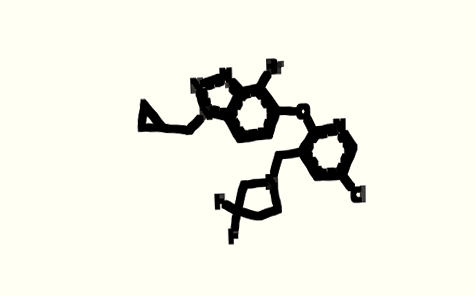 FC1(F)CCN(Cc2cc(Cl)cnc2Oc2ccc3c(nnn3CC3CC3)c2Br)C1